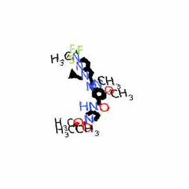 COc1cc(C(=O)NC2CCN(C(=O)OC(C)(C)C)C2)cc2nc(-c3cc4ccc(N(SC)C(F)F)nc4n3CC3CC3)n(C)c12